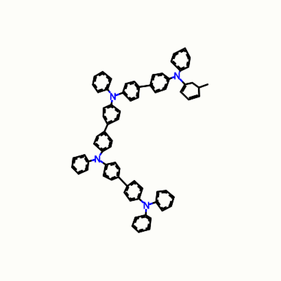 CC1C=CC=C(N(c2ccccc2)c2ccc(-c3ccc(N(c4ccccc4)c4ccc(-c5ccc(N(c6ccccc6)c6ccc(-c7ccc(N(c8ccccc8)c8ccccc8)cc7)cc6)cc5)cc4)cc3)cc2)C1